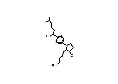 C=C(C)CCCC(O)c1ccc(N2CCC(Cl)C2CCCCC=O)cc1